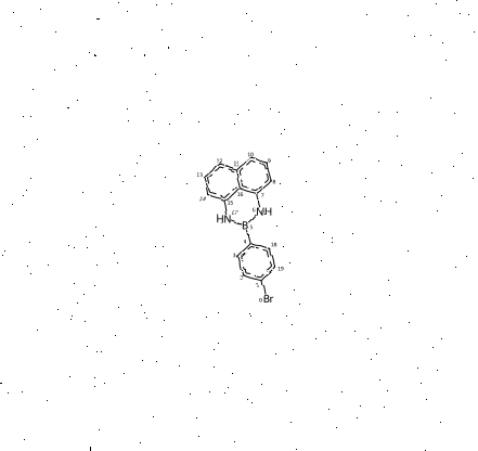 Brc1ccc(B2Nc3cccc4cccc(c34)N2)cc1